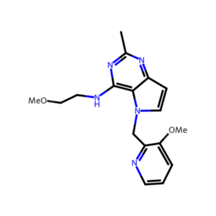 COCCNc1nc(C)nc2ccn(Cc3ncccc3OC)c12